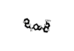 COc1ccc2nccc(-n3cc4c(n3)CCC(NC(=O)/C=C\c3ccccn3)C4)c2n1